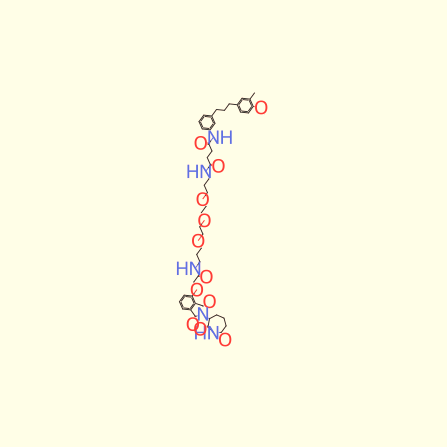 COc1ccc(CCCc2cccc(NC(=O)CCC(=O)NCCCOCCOCCOCCCNC(=O)COc3cccc4c3C(=O)N([C@H]3CCCC(=O)NC3=O)C4=O)c2)cc1C